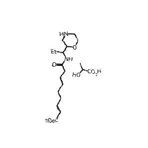 CC(O)C(=O)O.CCCCCCCCCCCCCCCCCC(=O)NC(CC)C1CNCCO1